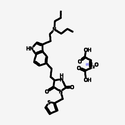 CCCN(CCC)CCc1c[nH]c2ccc(CCC3NC(=O)N(Cc4cccs4)C3=O)cc12.O.O=C(O)/C=C\C(=O)O